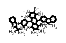 Bc1c(B)c(B)c2c(-c3ccc4c(c3)C(C)(C)c3ccccc3-4)c3c(B)c(B)c(B)c(B)c3c(-c3ccc(-n4c(C(B)(B)B)nc5ccccc54)cc3)c2c1B